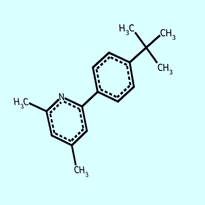 Cc1cc(C)nc(-c2ccc(C(C)(C)C)cc2)c1